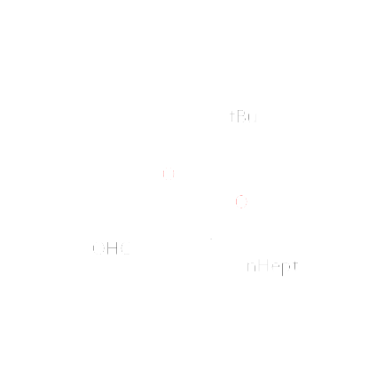 CCCCCCCC1(C)OC(C(C)(C)C)OC1C=O